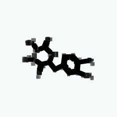 Cc1cc(CC(NC(=O)OC(C)(C)C)C(=O)NC(C)C)ccc1Br